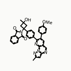 COc1ccc(-c2cc3cnc4cc(C)nn4c3nc2-c2ccc(C3(N4C(=O)c5ccccc5C4=O)CC(C)(O)C3)cc2)cc1